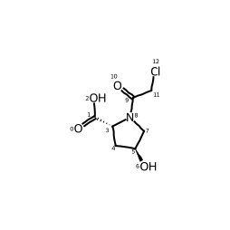 O=C(O)[C@H]1C[C@H](O)CN1C(=O)CCl